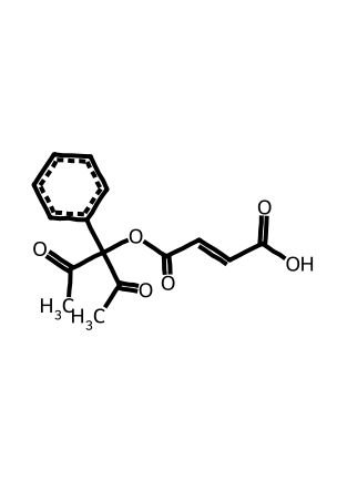 CC(=O)C(OC(=O)C=CC(=O)O)(C(C)=O)c1ccccc1